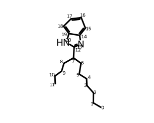 CCCCCCCC(CCCC)c1nc2ccccc2[nH]1